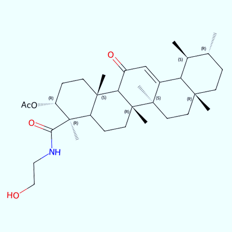 CC(=O)O[C@@H]1CC[C@@]2(C)C(CC[C@]3(C)C2C(=O)C=C2C4[C@@H](C)[C@H](C)CC[C@]4(C)CC[C@]23C)[C@@]1(C)C(=O)NCCO